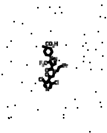 CC(C)CCN(CC(=O)c1c(Cl)cncc1Cl)C(=O)c1cnn([C@H]2CC[C@](C)(C(=O)O)CC2)c1C(F)(F)F